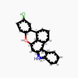 Clc1ccc2c(c1)-c1cccc3c1c(cc1[nH]c4ccccc4c13)O2